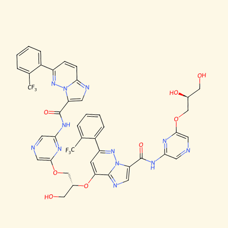 O=C(Nc1cncc(OC[C@@H](CO)Oc2cc(-c3ccccc3C(F)(F)F)nn3c(C(=O)Nc4cncc(OC[C@@H](O)CO)n4)cnc23)n1)c1cnc2ccc(-c3ccccc3C(F)(F)F)nn12